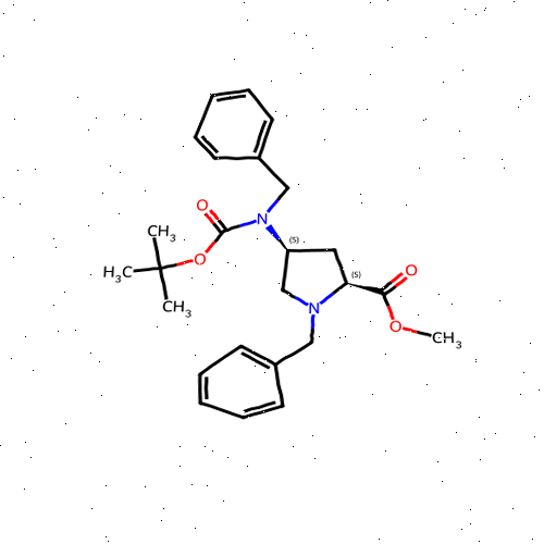 COC(=O)[C@@H]1C[C@H](N(Cc2ccccc2)C(=O)OC(C)(C)C)CN1Cc1ccccc1